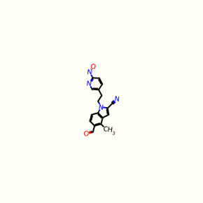 Cc1c(C=O)ccc2c1cc(C#N)n2CCc1ccc(N=O)nc1